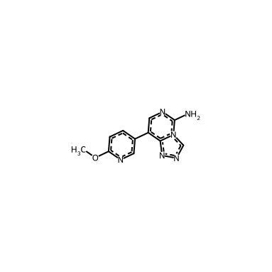 COc1ccc(-c2cnc(N)n3cnnc23)cn1